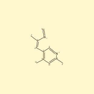 C=N/C(C)=C\c1cnc(C)cc1C